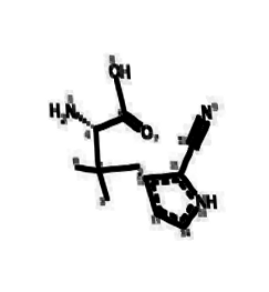 CC(C)(C)[C@H](N)C(=O)O.N#Cc1ccc[nH]1